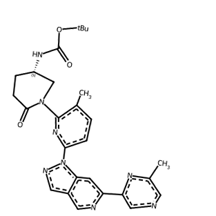 Cc1cncc(-c2cc3c(cn2)cnn3-c2ccc(C)c(N3C[C@@H](NC(=O)OC(C)(C)C)CCC3=O)n2)n1